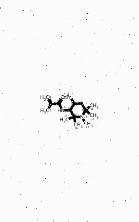 C=C(C)C(=O)NC1C(CCC)CC(C)(C)N(C)C1(C)C